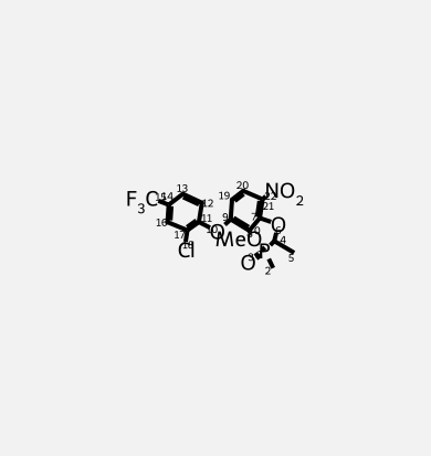 COP(C)(=O)C(C)Oc1cc(Oc2ccc(C(F)(F)F)cc2Cl)ccc1[N+](=O)[O-]